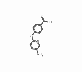 Nc1ccc(Oc2ccc(C(=O)O)cc2)nc1